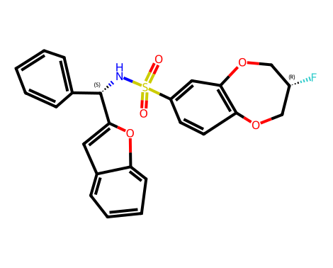 O=S(=O)(N[C@@H](c1ccccc1)c1cc2ccccc2o1)c1ccc2c(c1)OC[C@H](F)CO2